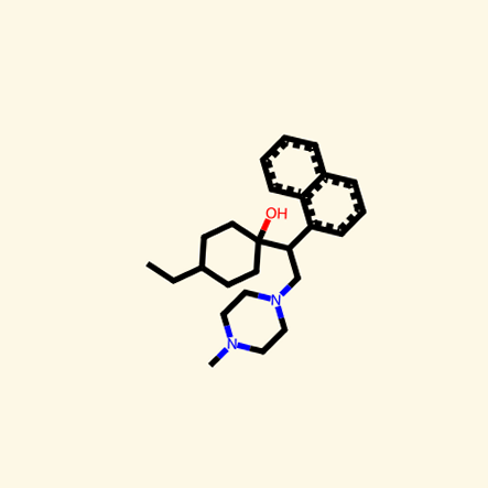 CCC1CCC(O)(C(CN2CCN(C)CC2)c2cccc3ccccc23)CC1